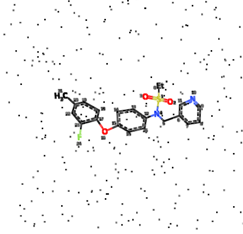 CCS(=O)(=O)N(Cc1cccnc1)c1ccc(Oc2ccc(C)cc2F)cc1